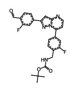 CC(C)(C)OC(=O)NCc1ccc(-c2ccnc3cc(-c4ccc(C=O)c(F)c4)nn23)cc1F